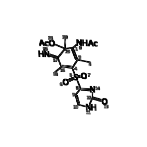 CC(=O)NC1=C(C)C(S(=O)(=O)c2cc[nH]c(=O)n2)=C(C)C(=N)C1(C)OC(C)=O